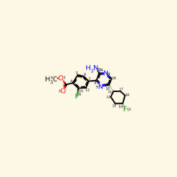 COC(=O)c1ccc(-c2nc([C@H]3CC[C@@H](F)CC3)cnc2N)cc1F